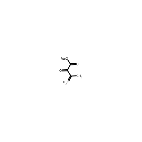 C=C(C)C(=O)C(=O)OC